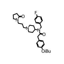 CC(C)COc1ccc(CC(=O)N(Cc2ccc(F)cc2)C2CCN(CCCN3CCCC3=O)CC2)cc1